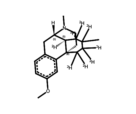 [2H]C1([2H])C([2H])(C)C([2H])([2H])[C@]2([2H])[C@@H]3Cc4ccc(OC)cc4[C@]2(CCN3C)C1([2H])[2H]